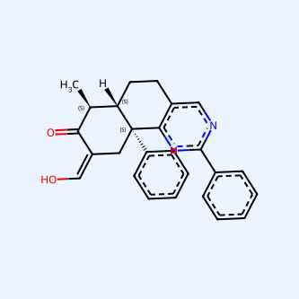 C[C@@H]1C(=O)C(=CO)C[C@]2(c3ccccc3)c3nc(-c4ccccc4)ncc3CC[C@@H]12